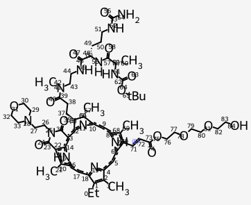 CCC1=C(C)c2cc3[nH]c(cc4nc(c5c6[nH]c(cc1n2)c(C)c6C(=O)N(CCN1CCOCC1)C5=O)[C@@H](CCC(=O)N(C)CCNC(=O)[C@H](CCCNC(N)=O)NC(=O)[C@H](C)NC(=O)OC(C)(C)C)[C@@H]4C)c(C)c3/C=C/C(=O)OCCOCCOCCO